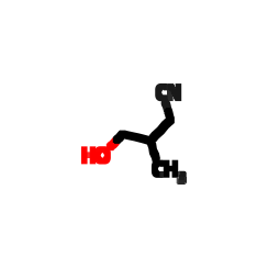 CC(CO)CC#N